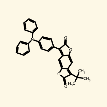 CC(C)(C)C1=c2cc3c(cc2OC1=O)=C(c1ccc(N(c2ccccc2)c2ccccc2)cc1)C(=O)O3